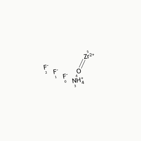 [F-].[F-].[F-].[NH4+].[O]=[Zr+2]